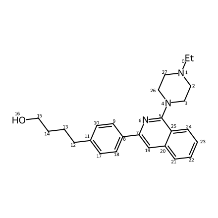 CCN1CCN(c2nc(-c3ccc(CCCCO)cc3)cc3ccccc23)CC1